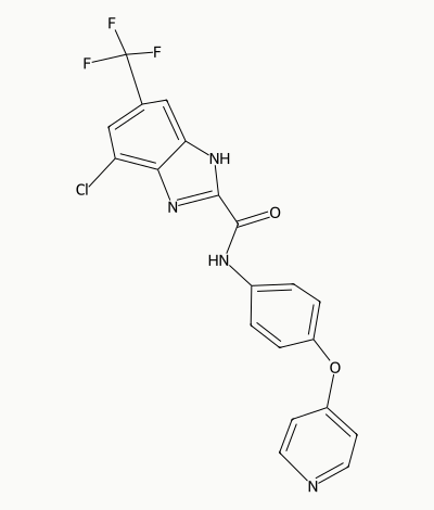 O=C(Nc1ccc(Oc2ccncc2)cc1)c1nc2c(Cl)cc(C(F)(F)F)cc2[nH]1